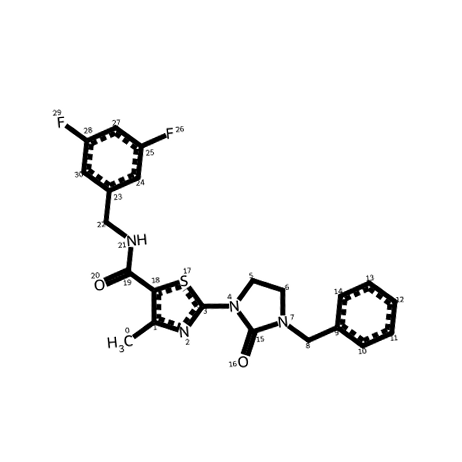 Cc1nc(N2CCN(Cc3ccccc3)C2=O)sc1C(=O)NCc1cc(F)cc(F)c1